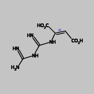 N=C(N)NC(=N)N/C(=C\C(=O)O)C(=O)O